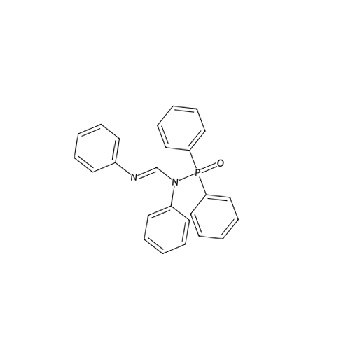 O=P(c1ccccc1)(c1ccccc1)N(C=Nc1ccccc1)c1ccccc1